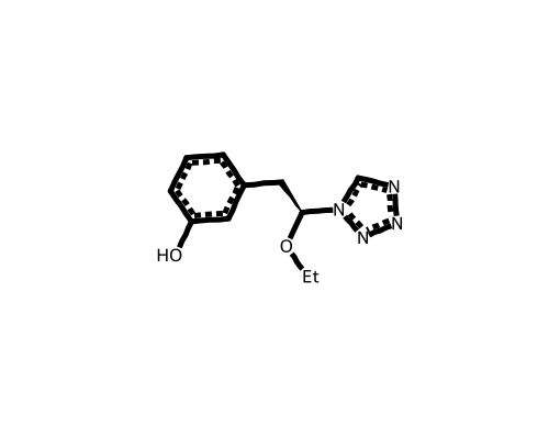 CCO[C@@H](Cc1cccc(O)c1)n1cnnn1